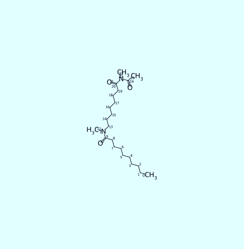 CCCCCCCCCC(=O)N(C)CCCCCCCC(=O)N(C)C(C)=O